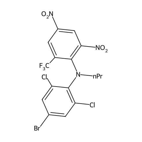 CCCN(c1c(Cl)cc(Br)cc1Cl)c1c([N+](=O)[O-])cc([N+](=O)[O-])cc1C(F)(F)F